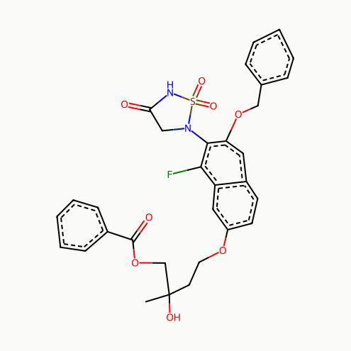 CC(O)(CCOc1ccc2cc(OCc3ccccc3)c(N3CC(=O)NS3(=O)=O)c(F)c2c1)COC(=O)c1ccccc1